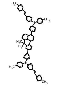 Cc1ccc(/C=C/c2ccc(N(c3ccc(C)cc3)c3ccc(-c4ccc5c(c4)C(C)(C)c4cccc6c(-c7ccc(N(c8ccc(C)cc8)c8ccc(/C=C/c9ccc(C)cc9)cc8)cc7)ccc-5c46)cc3)cc2)cc1